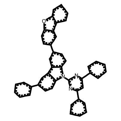 c1ccc(-c2ccc3c(c2)c2cc(-c4ccc5oc6ccccc6c5c4)ccc2n3-c2nc(-c3ccccc3)cc(-c3ccccc3)n2)cc1